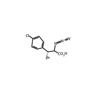 CC(C)[C@H](c1ccc(Cl)cc1)C(N=[N+]=[N-])C(=O)O